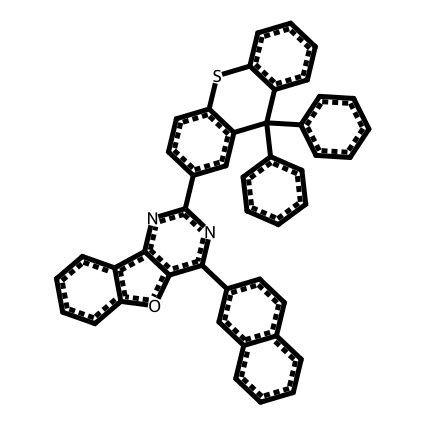 c1ccc(C2(c3ccccc3)c3ccccc3Sc3ccc(-c4nc(-c5ccc6ccccc6c5)c5oc6ccccc6c5n4)cc32)cc1